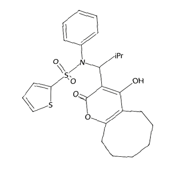 CC(C)C(c1c(O)c2c(oc1=O)CCCCCC2)N(c1ccccc1)S(=O)(=O)c1cccs1